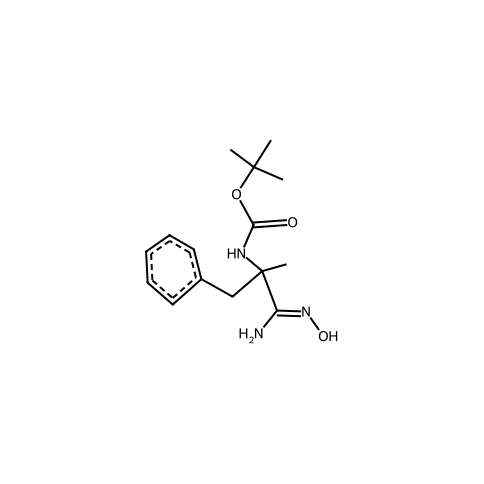 CC(C)(C)OC(=O)NC(C)(Cc1ccccc1)C(N)=NO